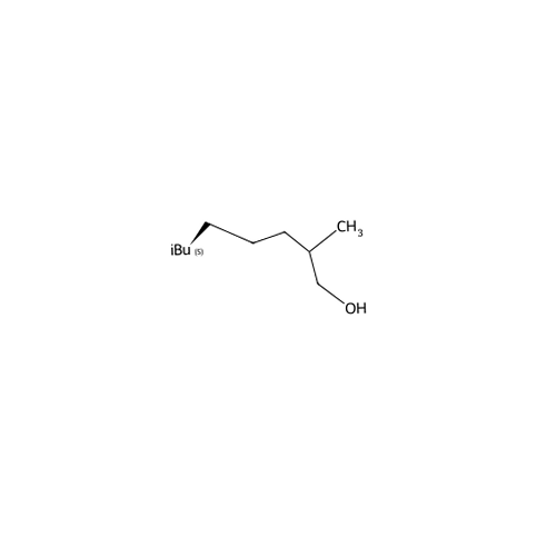 CC[C@H](C)CCCC(C)CO